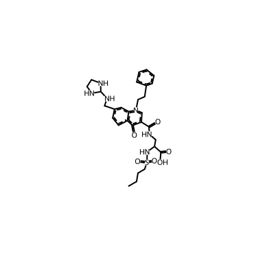 CCCCS(=O)(=O)NC(CNC(=O)c1cn(CCc2ccccc2)c2cc(CNC3NCCN3)ccc2c1=O)C(=O)O